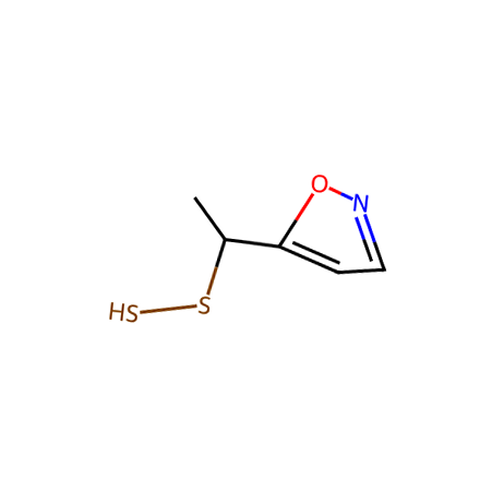 CC(SS)c1ccno1